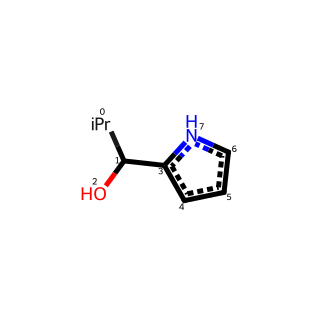 CC(C)C(O)c1ccc[nH]1